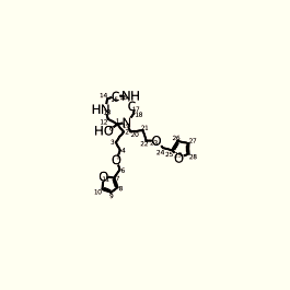 OC1(CCCOCc2ccco2)CNCCNCCN1CCCOCc1ccco1